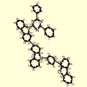 c1ccc(-c2nc(-c3ccccc3)nc(-n3c4ccccc4c4ccc(-c5ccc6c(c5)c5ccccc5n6-c5ccc(-c6cccc7c6oc6ccccc67)cc5)cc43)n2)cc1